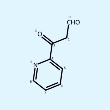 O=CCC(=O)c1ccccn1